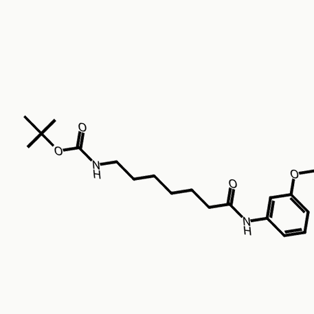 COc1cccc(NC(=O)CCCCCCNC(=O)OC(C)(C)C)c1